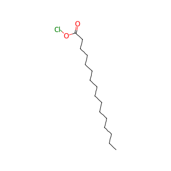 CCCCCCCCCCCCCCCC(=O)OCl